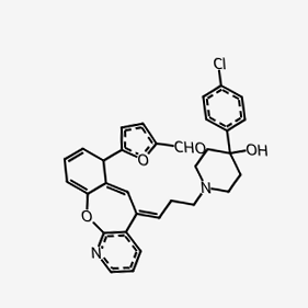 O=Cc1ccc(C2C=CC=C3Oc4ncccc4C(=CCCN4CCC(O)(c5ccc(Cl)cc5)CC4)C=C32)o1